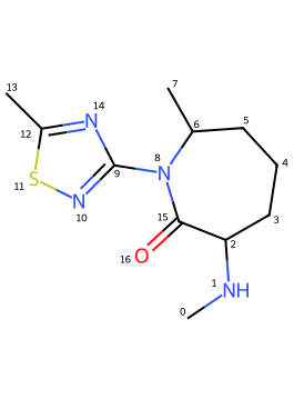 CNC1CCCC(C)N(c2nsc(C)n2)C1=O